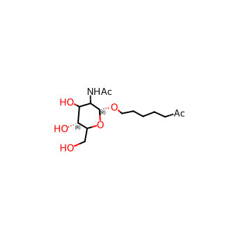 CC(=O)CCCCCO[C@@H]1OC(CO)[C@H](O)C(O)C1NC(C)=O